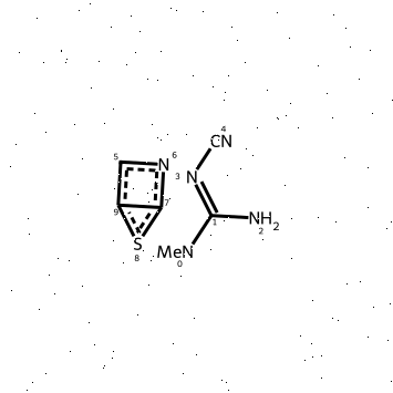 CNC(N)=NC#N.c1nc2sc1-2